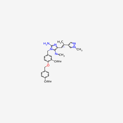 C=Nc1c(/C=C(\C)c2cnn(C)c2)nc(N)n1Cc1ccc(OCc2ccc(OC)cc2)c(OC)c1